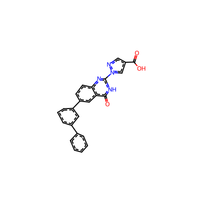 O=C(O)c1cnn(-c2nc3ccc(-c4cccc(-c5ccccc5)c4)cc3c(=O)[nH]2)c1